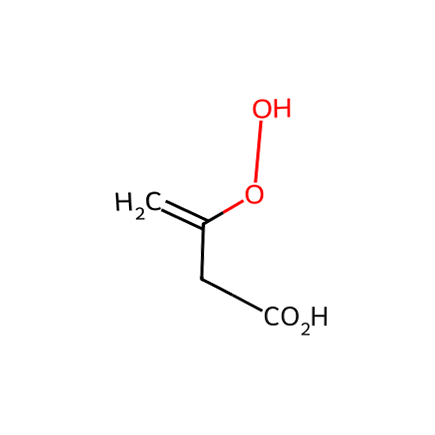 C=C(CC(=O)O)OO